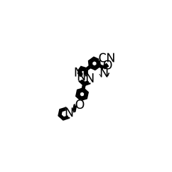 CN(C)C(=O)c1cc(-c2cnn3cc(-c4ccc(OCCN5CCCCC5)cc4)cnc23)ccc1C#N